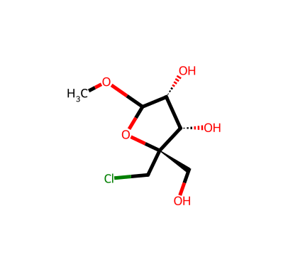 COC1O[C@@](CO)(CCl)[C@@H](O)[C@H]1O